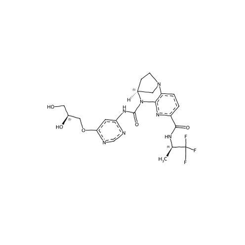 C[C@@H](NC(=O)c1ccc2c(n1)N(C(=O)Nc1cc(OC[C@@H](O)CO)ncn1)[C@H]1CCN2C1)C(F)(F)F